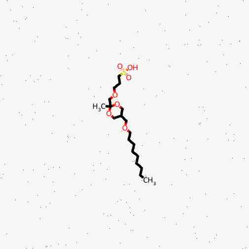 CCCCCCCCCOCC1COC(C)(COCCCS(=O)(=O)O)OC1